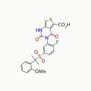 COc1ccccc1C(C)(C)S(=O)(=O)c1ccc(F)c(-n2c(=O)[nH]c3csc(C(=O)O)c3c2=O)c1